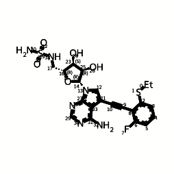 CCSc1cccc(F)c1C#Cc1cn([C@@H]2O[C@H](CNS(N)(=O)=O)[C@@H](O)[C@H]2O)c2ncnc(N)c12